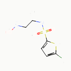 CCC(C)[C@@H](CNO)NS(=O)(=O)c1ccc(Cl)s1